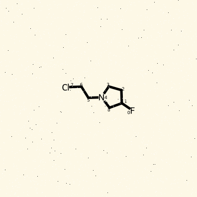 FC1CCN(CCCl)C1